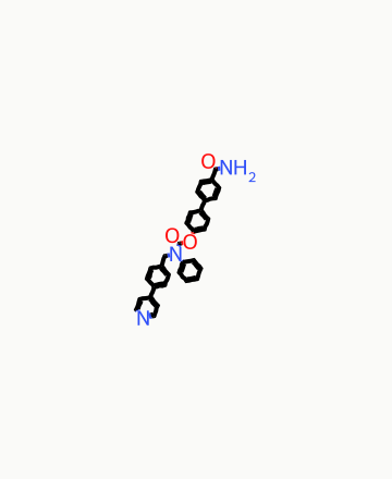 NC(=O)c1ccc(-c2ccc(OC(=O)N(Cc3ccc(-c4ccncc4)cc3)c3ccccc3)cc2)cc1